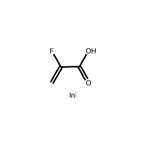 C=C(F)C(=O)O.[In]